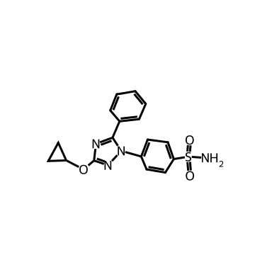 NS(=O)(=O)c1ccc(-n2nc(OC3CC3)nc2-c2ccccc2)cc1